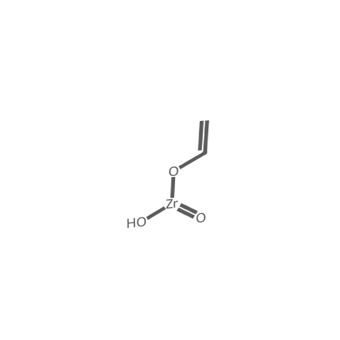 C=C[O][Zr](=[O])[OH]